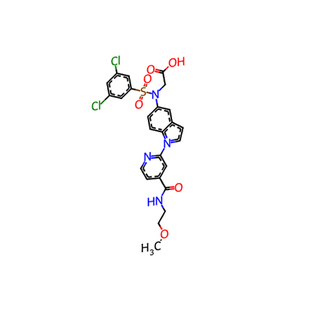 COCCNC(=O)c1ccnc(-n2ccc3cc(N(CC(=O)O)S(=O)(=O)c4cc(Cl)cc(Cl)c4)ccc32)c1